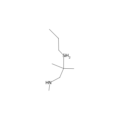 CCC[SiH2]C(C)(C)CNC